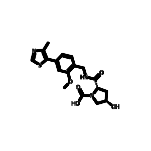 COc1cc(-c2scnc2C)ccc1CNC(=O)[C@@H]1C[C@@H](O)CN1C(=O)O